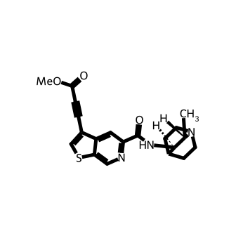 COC(=O)C#Cc1csc2cnc(C(=O)N[C@@H]3C4CCN(CC4)[C@H]3C)cc12